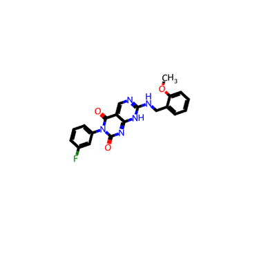 COc1ccccc1CNc1ncc2c(=O)n(-c3cccc(F)c3)c(=O)nc-2[nH]1